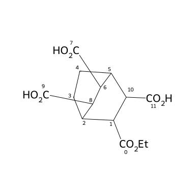 CCOC(=O)C1C2CCC(C(C(=O)O)C2C(=O)O)C1C(=O)O